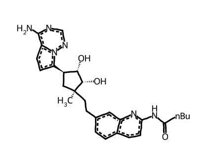 CCCCC(=O)Nc1ccc2ccc(CC[C@@]3(C)C[C@@H](c4ccc5c(N)ncnn45)[C@H](O)[C@@H]3O)cc2n1